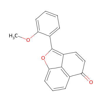 COc1ccccc1-c1oc2cccc3c2c1C=CC3=O